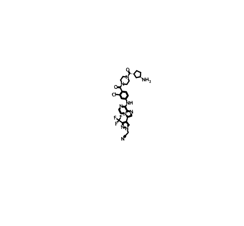 N#CCn1cc(-c2cnc3c(Nc4ccc(C(=O)N5CCN(C(=O)[C@@H]6CC[C@H](N)C6)CC5)c(Cl)c4)nccn23)c(C(F)(F)F)n1